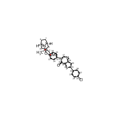 COCC(C)N1[C@@H]2CC[C@H]1C[C@@H](Oc1ccc(-n3cnc4cc(-c5ccc(Cl)cc5)sc4c3=O)cc1)C2